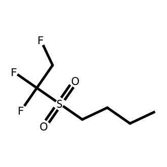 CCCCS(=O)(=O)C(F)(F)CF